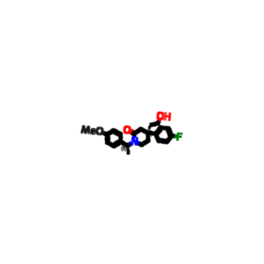 COc1ccc([C@H](C)N2CC[C@](CCO)(c3ccc(F)cc3)CC2=O)cc1